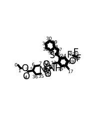 CCOC(=O)C1CCN(S(=O)(=O)NCc2cc(C)c(OC(F)(F)F)cc2-c2cc3ccccc3s2)CC1